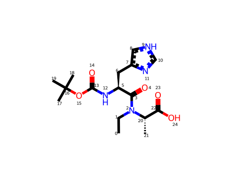 CCN(C(=O)[C@H](Cc1c[nH]cn1)NC(=O)OC(C)(C)C)[C@@H](C)C(=O)O